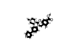 COC(=O)c1ccc(CN(C(=O)N2CCN(C)CC2)c2ccc(-c3ccncc3)cc2)c(F)c1